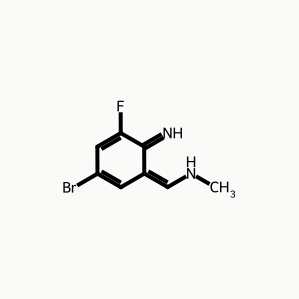 CN/C=C1/C=C(Br)C=C(F)C1=N